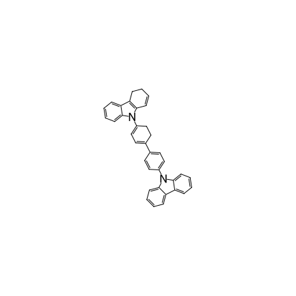 C1=Cc2c(c3ccccc3n2C2=CC=C(c3ccc(-n4c5ccccc5c5ccccc54)cc3)CC2)CC1